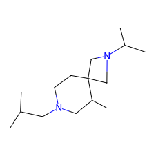 CC(C)CN1CCC2(CN(C(C)C)C2)C(C)C1